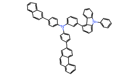 c1ccc(-n2c3ccccc3c3c(-c4cccc(N(c5ccc(-c6ccc7ccccc7c6)cc5)c5ccc(-c6ccc7c(ccc8ccccc87)c6)cc5)c4)cccc32)cc1